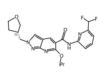 CC(C)Oc1nc2nn(C[C@@H]3CCOC3)cc2cc1C(=O)Nc1cccc(C(F)F)n1